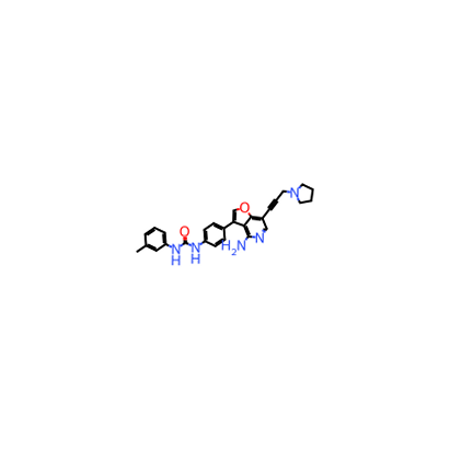 Cc1cccc(NC(=O)Nc2ccc(-c3coc4c(C#CCN5CCCC5)cnc(N)c34)cc2)c1